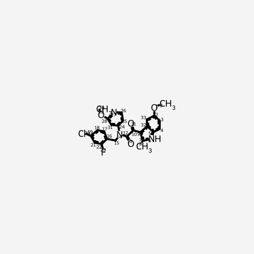 COc1ccc2[nH]c(C)c(C(=O)C(=O)N(Cc3ccc(Cl)cc3F)c3ccnc(OC)c3)c2c1